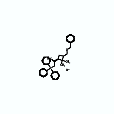 CC(C[P+](c1ccccc1)(c1ccccc1)c1ccccc1)=C1CC(COCc2ccccc2)C1(C)C.[Br-]